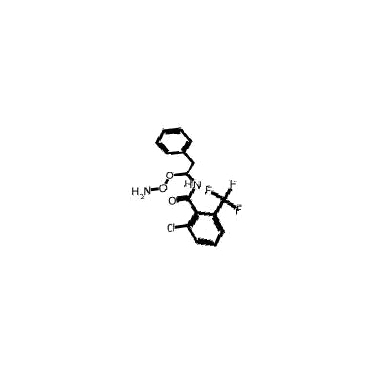 NOO[C@@H](Cc1ccccc1)NC(=O)c1c(Cl)cccc1C(F)(F)F